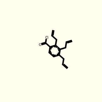 C=CCc1ccc(C(=O)Cl)c(CC=C)c1CC=C